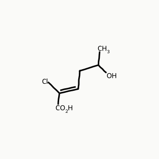 CC(O)C/C=C(\Cl)C(=O)O